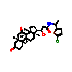 CC(NC(=O)C[C@@H](O)[C@H]1CC[C@H]2[C@@H]3C(=O)C[C@@H]4CC(=O)CC[C@]4(C)[C@H]3CC[C@]12C)c1ccc(Cl)s1